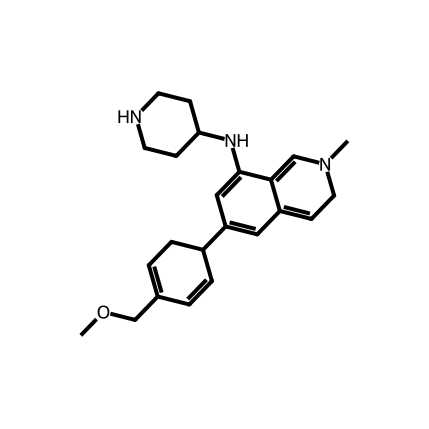 COCC1=CCC(c2cc(NC3CCNCC3)c3c(c2)=CCN(C)C=3)C=C1